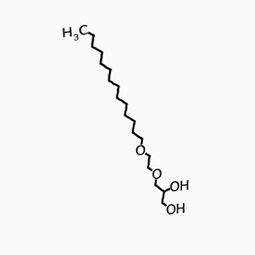 CCCCCCCCCCCCCCOCCOCC(O)CO